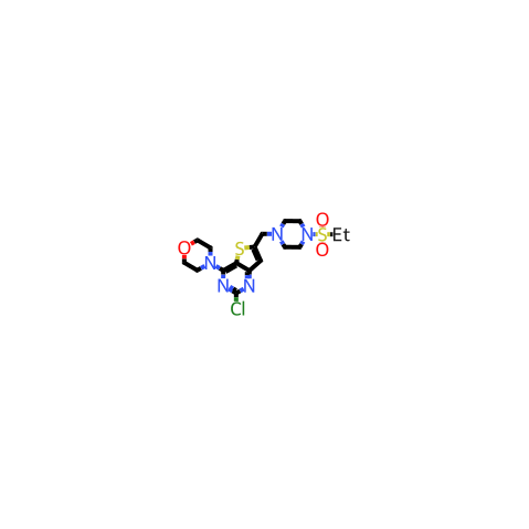 CCS(=O)(=O)N1CCN(Cc2cc3nc(Cl)nc(N4CCOCC4)c3s2)CC1